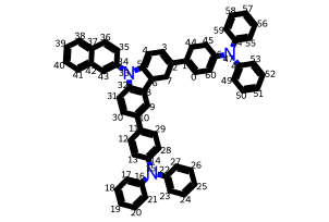 C1=C(C2=CC=C3C(C2)c2cc(-c4ccc(N(c5ccccc5)c5ccccc5)cc4)ccc2N3c2ccc3ccccc3c2)CCC(N(c2ccccc2)c2ccccc2)=C1